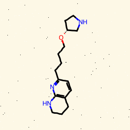 c1cc2c(nc1CCCCO[C@@H]1CCNC1)NCCC2